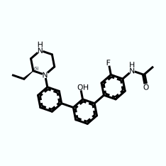 CC[C@H]1CNCCN1c1cccc(-c2cccc(-c3ccc(NC(C)=O)c(F)c3)c2O)c1